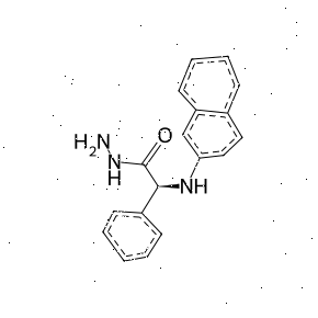 NNC(=O)[C@@H](Nc1ccc2ccccc2c1)c1ccccc1